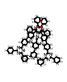 Cc1cc(-c2cc(-n3c4cc(-c5nc(-c6ccccc6)nc(-c6ccccc6)n5)ccc4c4ccc(-c5nc(-c6ccccc6)nc(-c6ccccc6)n5)cc43)c(C#N)c(-n3c4cc(-c5nc(-c6ccccc6)nc(-c6ccccc6)n5)ccc4c4ccc(-c5nc(-c6ccccc6)nc(-c6ccccc6)n5)cc43)c2)cc(C)n1